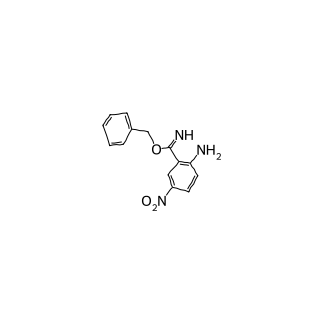 N=C(OCc1ccccc1)c1cc([N+](=O)[O-])ccc1N